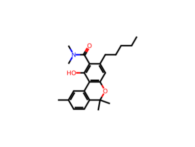 CCCCCc1cc2c(c(O)c1C(=O)N(C)C)-c1cc(C)ccc1C(C)(C)O2